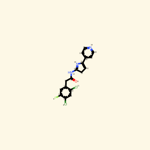 O=C(Cc1cc(F)c(Cl)cc1Cl)NC1=NC(c2ccncc2)=CC1